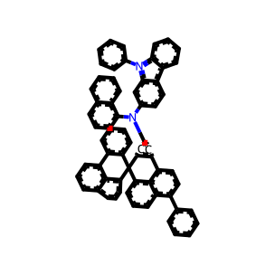 c1ccc(-c2ccc3c4c(cccc24)C2(c4ccccc4-c4cccc5cccc2c45)c2cc(N(c4ccc5c6ccccc6n(-c6ccccc6)c5c4)c4cccc5ccccc45)ccc2-3)cc1